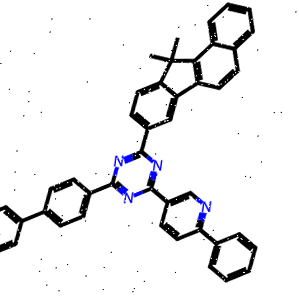 CC1(C)c2ccc(-c3nc(-c4ccc(-c5ccccc5)cc4)nc(-c4ccc(-c5ccccc5)nc4)n3)cc2-c2ccc3ccccc3c21